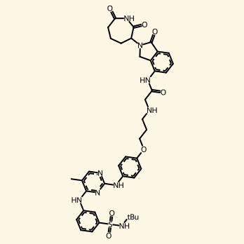 Cc1cnc(Nc2ccc(OCCCNCC(=O)Nc3cccc4c3CN(C3CCCC(=O)NC3=O)C4=O)cc2)nc1Nc1cccc(S(=O)(=O)NC(C)(C)C)c1